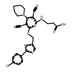 N#Cc1c(NCCC(=O)O)nc(SCc2csc(-c3ccc(Cl)cc3)n2)c(C#N)c1N1CCCCC1